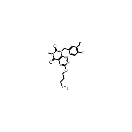 Cn1c(=O)c2nc(OCCCN)nnc2n(Cc2ccc(F)c(F)c2)c1=O